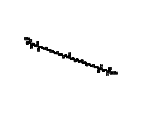 CC(C)(C)OC(=O)NCCNC(=O)CCOCCOCCOCCOCCNCCOCCOCCOCCOCCC(=O)NCCNC(=O)OC(C)(C)C